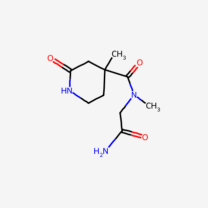 CN(CC(N)=O)C(=O)C1(C)CCNC(=O)C1